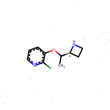 CC(Oc1cccnc1F)[C@@H]1CCN1